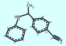 CC(Nc1ccccc1)c1ccc(C#N)cc1